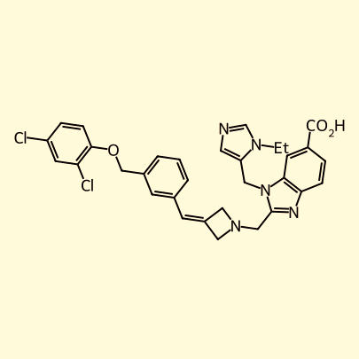 CCn1cncc1Cn1c(CN2CC(=Cc3cccc(COc4ccc(Cl)cc4Cl)c3)C2)nc2ccc(C(=O)O)cc21